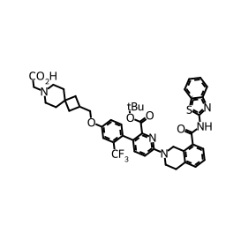 CC(C)(C)OC(=O)c1nc(N2CCc3cccc(C(=O)Nc4nc5ccccc5s4)c3C2)ccc1-c1ccc(OCC2CC3(CCN(CC(=O)O)CC3)C2)cc1C(F)(F)F